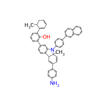 CC1CC=CC=C1c1cccc(-c2ccc3c(c2)N(c2ccc(-c4ccc5ccccc5c4)cc2)C2(C)C=CC(c4ccc(N)cc4)=CC32)c1O